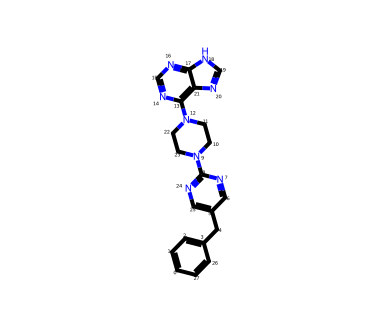 c1ccc(Cc2cnc(N3CCN(c4ncnc5[nH]cnc45)CC3)nc2)cc1